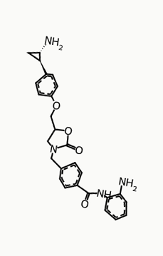 Nc1ccccc1NC(=O)c1ccc(CN2CC(COc3ccc([C@H]4C[C@@H]4N)cc3)OC2=O)cc1